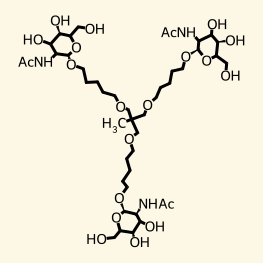 CC(=O)NC1C(O)[C@@H](O)C(CO)O[C@H]1OCCCCCOCC(C)(COCCCCCO[C@@H]1OC(CO)[C@H](O)C(O)C1NC(C)=O)COCCCCCO[C@@H]1OC(CO)[C@H](O)C(O)[C@@H]1NC(C)=O